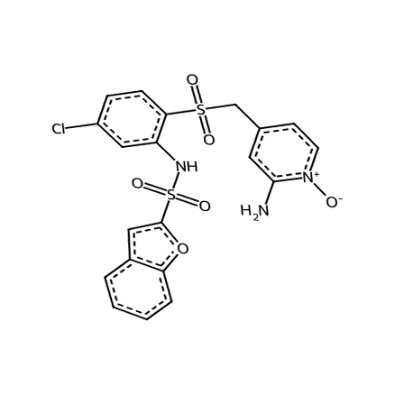 Nc1cc(CS(=O)(=O)c2ccc(Cl)cc2NS(=O)(=O)c2cc3ccccc3o2)cc[n+]1[O-]